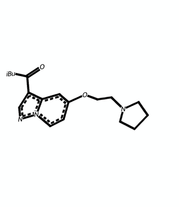 CCC(C)C(=O)c1cnn2ccc(OCCN3CCCC3)cc12